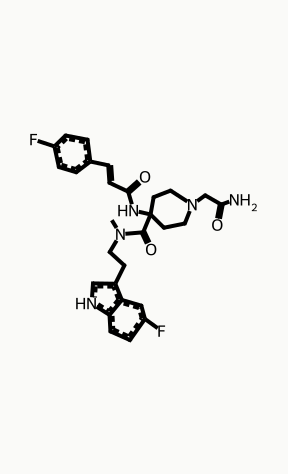 CN(CCc1c[nH]c2ccc(F)cc12)C(=O)C1(NC(=O)C=Cc2ccc(F)cc2)CCN(CC(N)=O)CC1